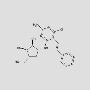 Nc1nc(Cl)c(/C=C/c2cccnc2)c(N[C@@H]2C[C@H](CO)[C@@H](O)[C@H]2O)n1